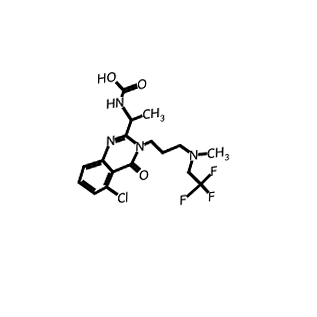 CC(NC(=O)O)c1nc2cccc(Cl)c2c(=O)n1CCCN(C)CC(F)(F)F